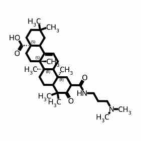 CN(C)CCCNC(=O)C1C[C@@]2(C)C(CC[C@]3(C)C2CC=C2C4CC(C)(C)CC[C@]4(C(=O)O)CC[C@]23C)C(C)(C)C1=O